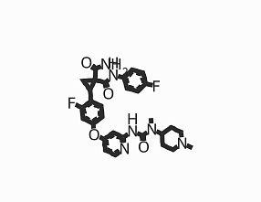 CN1CCC(N(C)C(=O)Nc2cc(Oc3ccc(C4CC4(C(N)=O)C(=O)Nc4ccc(F)cc4)c(F)c3)ccn2)CC1